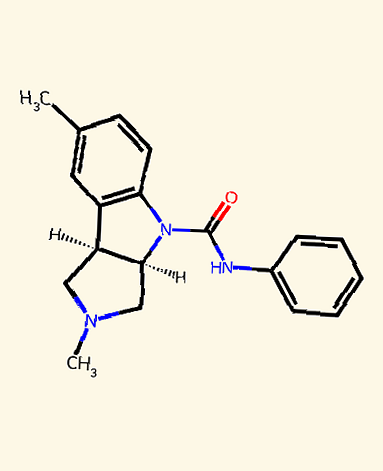 Cc1ccc2c(c1)[C@@H]1CN(C)C[C@@H]1N2C(=O)Nc1ccccc1